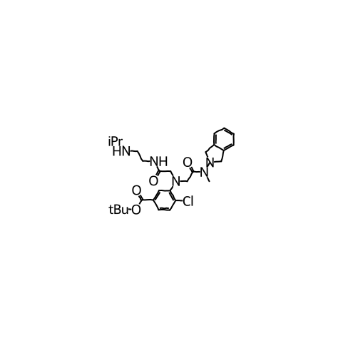 CC(C)NCCNC(=O)CN(CC(=O)N(C)N1Cc2ccccc2C1)c1cc(C(=O)OC(C)(C)C)ccc1Cl